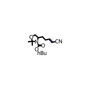 CCCCOC(=O)N1C(CC/C=C/C#N)COC1(C)C